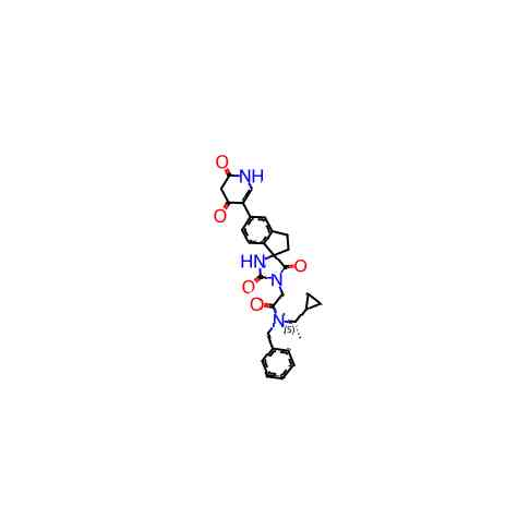 C[C@@H](C1CC1)N(Cc1ccccc1)C(=O)CN1C(=O)NC2(CCc3cc(C4=CNC(=O)CC4=O)ccc32)C1=O